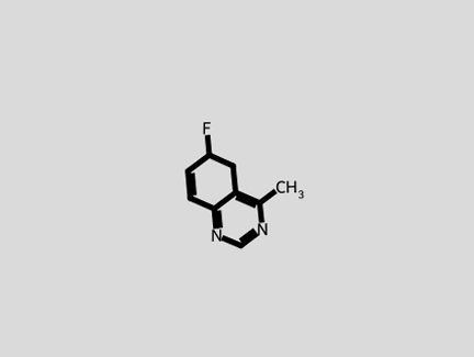 Cc1ncnc2c1CC(F)C=C2